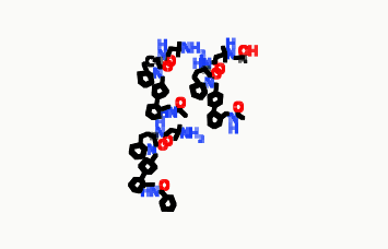 CC(=O)NCc1ccccc1-c1ccc(CN2C(=O)[C@H](NC(=O)CC(C)(C)N)CCc3ccccc32)cc1.CC(=O)NCc1ccccc1-c1ccc(CN2C(=O)[C@H](NC(=O)CC(C)(C)NC[C@@H](C)O)CCc3ccccc32)cc1.CC(C)(N)CC(=O)N[C@@H]1CCc2ccccc2N(Cc2ccc(-c3ccccc3CNC(=O)c3ccccc3)cc2)C1=O